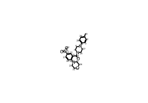 Cc1ccc(N2CCN(C(=O)c3cc([N+](=O)[O-])ccc3N3CCOCC3)CC2)cc1